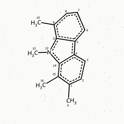 Cc1ccc2c3cccc(C)c3n(C)c2c1C